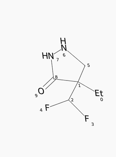 CCC1(C(F)F)CNNC1=O